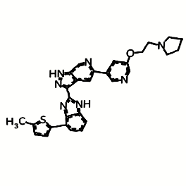 Cc1ccc(-c2cccc3[nH]c(-c4n[nH]c5cnc(-c6cncc(OCCN7CCCC7)c6)cc45)nc23)s1